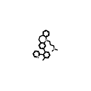 Cc1cccc(-c2ccc3c(c2)N(CCCN(C)C)c2ccccc2CC3)c1-c1ccccn1